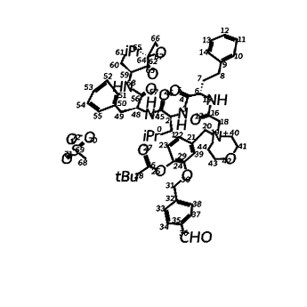 CC(C)C[C@H](NC(=O)[C@H](CCc1ccccc1)NC(=O)C[N+]1(Cc2ccc(OC(=O)C(C)(C)C)c(OCc3ccc(C=O)cc3)c2)CCOCC1)C(=O)N[C@@H](Cc1ccccc1)C(=O)N[C@@H](CC(C)C)C(=O)[C@@]1(C)CO1.CS(=O)(=O)[O-]